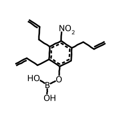 C=CCc1cc(OB(O)O)c(CC=C)c(CC=C)c1[N+](=O)[O-]